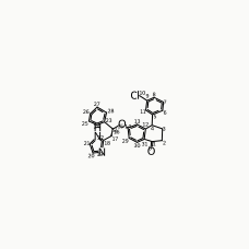 O=C1CCC(c2cccc(Cl)c2)c2cc(O[C@@H](Cc3ncc[nH]3)c3ccccc3)ccc21